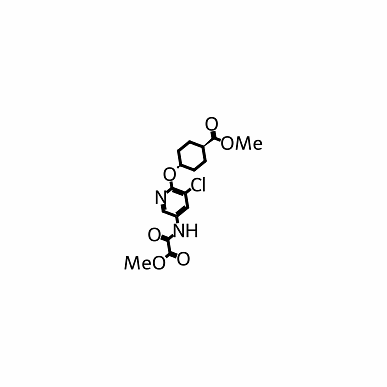 COC(=O)C(=O)Nc1cnc(O[C@H]2CC[C@H](C(=O)OC)CC2)c(Cl)c1